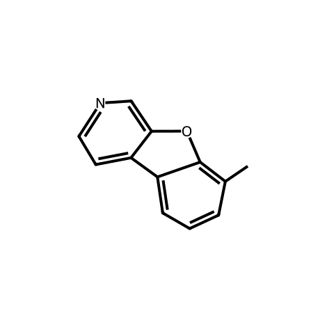 Cc1cccc2c1oc1cnccc12